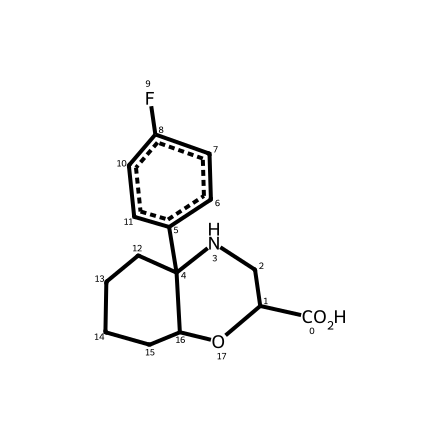 O=C(O)C1CNC2(c3ccc(F)cc3)CCCCC2O1